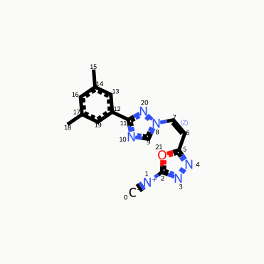 [C-]#[N+]c1nnc(/C=C\n2cnc(-c3cc(C)cc(C)c3)n2)o1